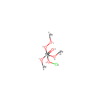 CC(C)O[O][Ti](=[O])([O]Cl)([O]C(C)C)[O]C(C)C